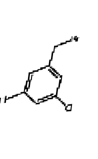 Clc1cc(Cl)cc(CBr)c1